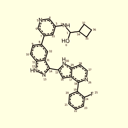 OC(Nc1cncc(-c2ccc3[nH]nc(-c4cc5c(-c6ccccc6F)nccc5[nH]4)c3c2)c1)C1CCC1